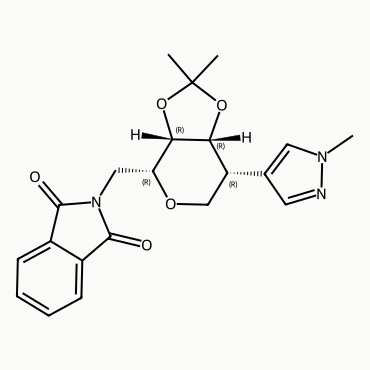 Cn1cc([C@@H]2CO[C@H](CN3C(=O)c4ccccc4C3=O)[C@@H]3OC(C)(C)O[C@@H]32)cn1